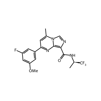 COc1cc(F)cc(-c2cc(C)n3cnc(C(=O)N[C@H](C)C(F)(F)F)c3n2)c1